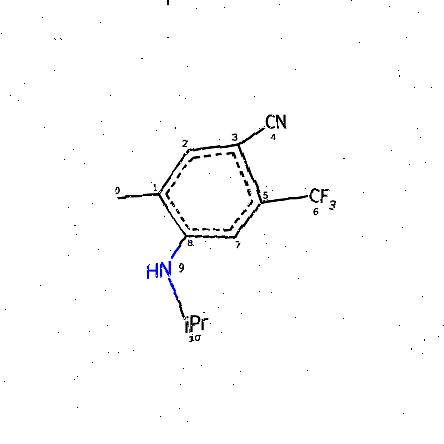 Cc1cc(C#N)c(C(F)(F)F)cc1NC(C)C